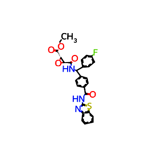 CCOC(=O)[C@H]1O[C@@H]1C(=O)NC(c1ccc(F)cc1)c1ccc(C(=O)Nc2nc3ccccc3s2)cc1